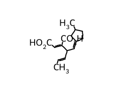 CC=CC(C=C1CCC(C)C1)/C(=C/C(=O)O)C(=O)O